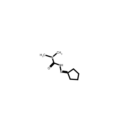 CN(C)C(=O)NN=C1CCCC1